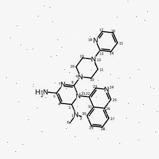 CN(C)C1C=C(N)N=C(N2CCN(c3ccccn3)CC2)N1c1cncc2ccccc12